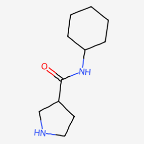 O=C(NC1CCCCC1)C1CCNC1